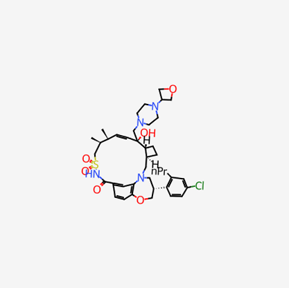 CCCc1cc(Cl)ccc1[C@@H]1COc2ccc3cc2N(C1)C[C@@H]1CC[C@H]1[C@@](O)(CN1CCN(C2COC2)CC1)/C=C/[C@H](C)[C@H](C)CS(=O)(=O)NC3=O